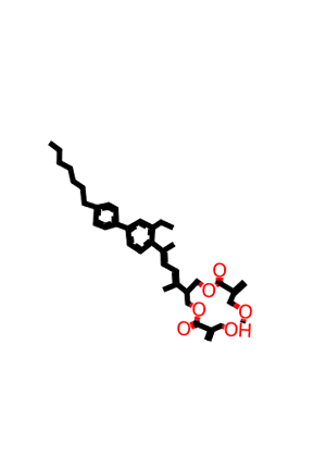 C=C(CO)C(=O)OCC(COC(=O)C(=C)COC)/C(C)=C/C=C(\C)c1ccc(-c2ccc(CCCCCCC)cc2)cc1CC